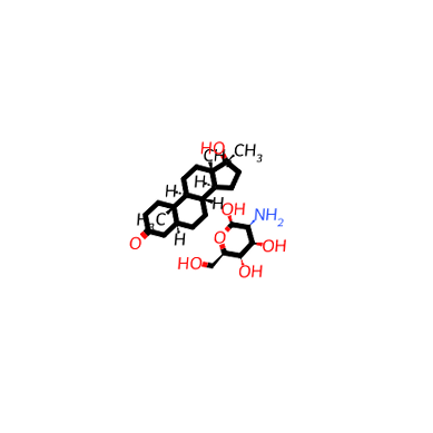 C[C@]12CCC(=O)C[C@@H]1CC[C@@H]1[C@@H]2CC[C@@]2(C)[C@H]1CC[C@]2(C)O.N[C@@H]1[C@@H](O)[C@H](O)[C@@H](CO)O[C@H]1O